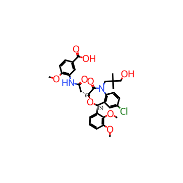 COc1ccc(C(=O)O)cc1NC(=O)C[C@H]1O[C@H](c2cccc(OC)c2OC)c2cc(Cl)ccc2N(CC(C)(C)CO)C1=O